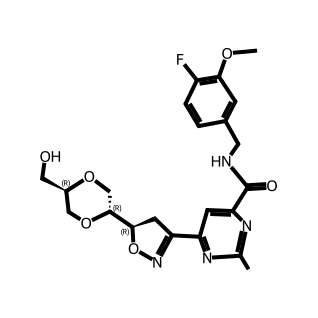 COc1cc(CNC(=O)c2cc(C3=NO[C@@H]([C@H]4CO[C@H](CO)CO4)C3)nc(C)n2)ccc1F